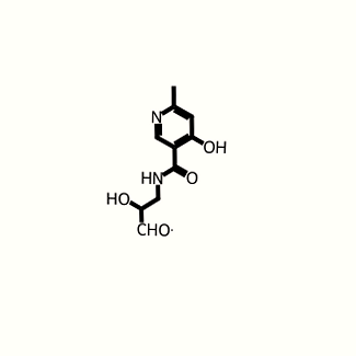 Cc1cc(O)c(C(=O)NCC(O)[C]=O)cn1